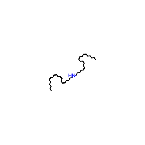 CCCCC/C=C\C/C=C\C/C=C\C/C=C\CCCCNCCCC/C=C\C/C=C\C/C=C\C/C=C\CCCCC